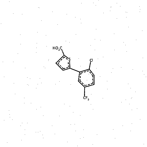 O=C(O)c1ccc(-c2cc(C(F)(F)F)ccc2Cl)s1